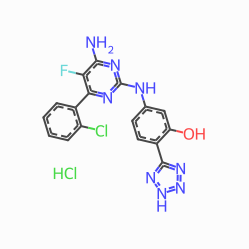 Cl.Nc1nc(Nc2ccc(-c3nn[nH]n3)c(O)c2)nc(-c2ccccc2Cl)c1F